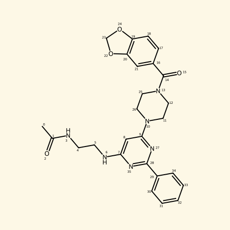 CC(=O)NCCNc1cc(N2CCN(C(=O)c3ccc4c(c3)OCO4)CC2)nc(-c2ccccc2)n1